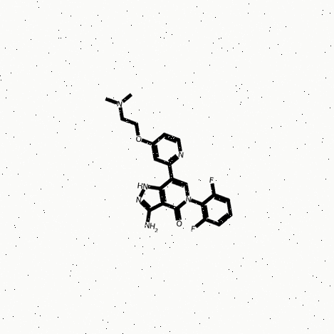 CN(C)CCOc1ccnc(-c2cn(-c3c(F)cccc3F)c(=O)c3c(N)n[nH]c23)c1